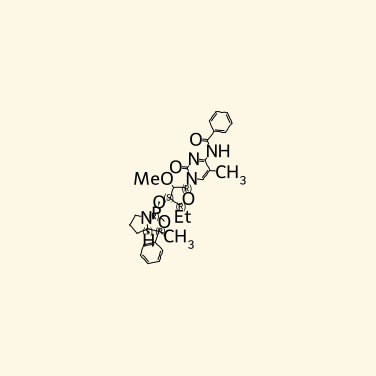 CC[C@H]1O[C@@H](n2cc(C)c(NC(=O)c3ccccc3)nc2=O)C(OC)[C@H]1O[P@@]1O[C@](C)(c2ccccc2)[C@@H]2CCCN21